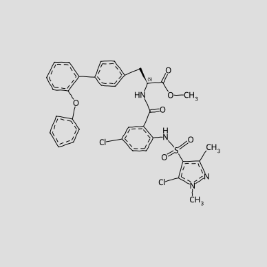 COC(=O)[C@H](Cc1ccc(-c2ccccc2Oc2ccccc2)cc1)NC(=O)c1cc(Cl)ccc1NS(=O)(=O)c1c(C)nn(C)c1Cl